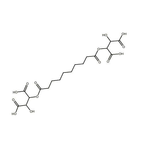 O=C(CCCCCCCCC(=O)OC(C(=O)O)C(O)C(=O)O)OC(C(=O)O)C(O)C(=O)O